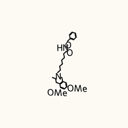 COc1cc2c(cc1OC)CN(CCCCCCCC(=O)NOCc1ccccc1)C(C)C2